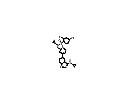 O=S(=O)(c1ccc(Cl)cc1Cl)N(Cc1cc(-c2ccc3ncnc(NC4CC4)c3c2)ccn1)C1CC1